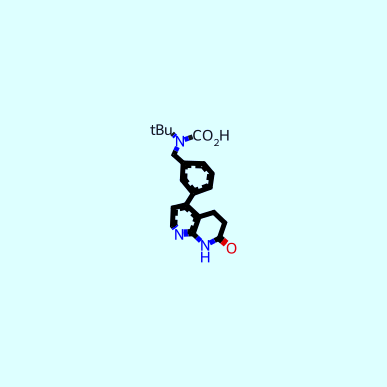 CC(C)(C)N(Cc1cccc(-c2ccnc3c2CCC(=O)N3)c1)C(=O)O